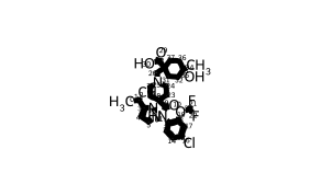 CC(C)c1ccnn1C1(C(=O)Nc2ccc(Cl)cc2OC(F)F)CCN(CC2(C(=O)O)CCC(C)(O)CC2)CC1